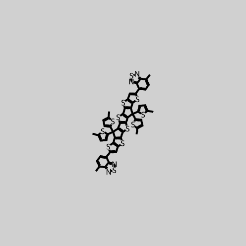 Cc1ccc(C2(c3ccc(C)s3)c3c(sc4cc(-c5ccc(C)c6nsnc56)sc34)-c3sc4c5c(sc4c32)-c2sc3cc(-c4ccc(C)c6nsnc46)sc3c2C5(c2ccc(C)s2)c2ccc(C)s2)s1